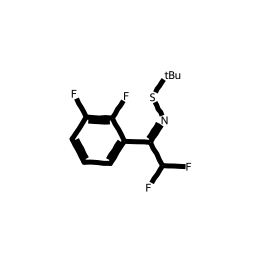 CC(C)(C)S/N=C(\c1cccc(F)c1F)C(F)F